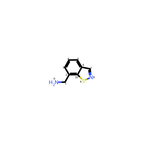 NCc1cccc2cnsc12